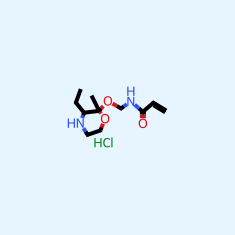 C=CC(=O)NCOC1(C)OCCNC1CC.Cl